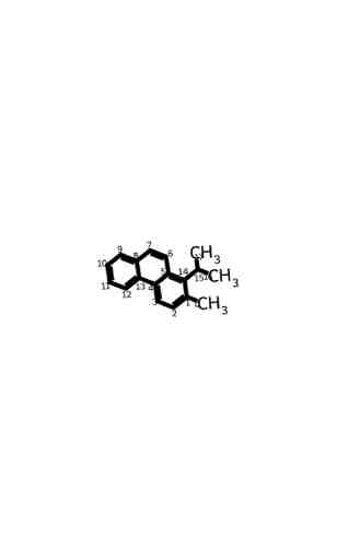 Cc1ccc2c(ccc3ccccc32)c1C(C)C